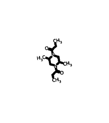 CCC(=O)N1CC(C)N(C(=O)CC)CC1C